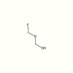 OCO[CH]F